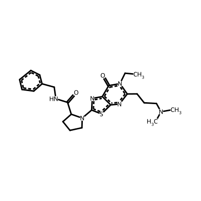 CCn1c(CCCN(C)C)nc2sc(N3CCCC3C(=O)NCc3ccccc3)nc2c1=O